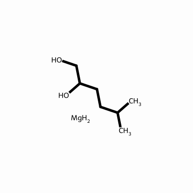 CC(C)CCC(O)CO.[MgH2]